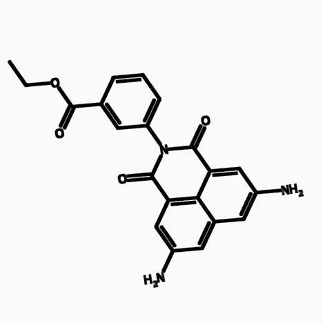 CCOC(=O)c1cccc(N2C(=O)c3cc(N)cc4cc(N)cc(c34)C2=O)c1